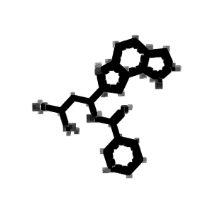 CC(N)CC(NC(=O)c1cccnc1)c1cc2c(ccc3cn[nH]c32)o1